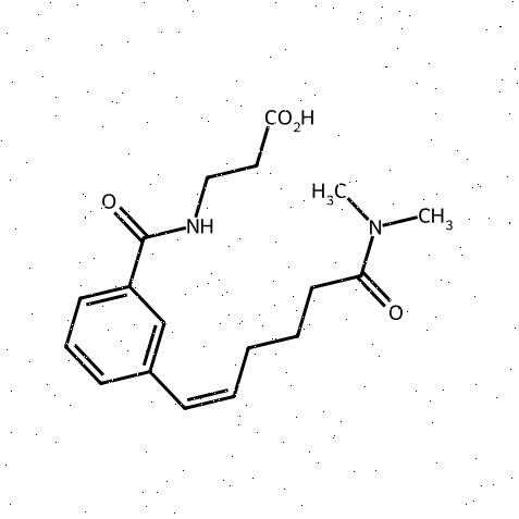 CN(C)C(=O)CCC/C=C\c1cccc(C(=O)NCCC(=O)O)c1